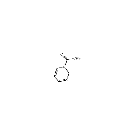 COC(=O)N1[CH]N=CC=C1